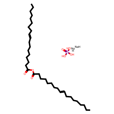 CCCCCCCCC=CCCCCCCCC(=O)OC(=O)CCCCCCCC=CCCCCCCCC.O=P(O)(O)O.[NaH].[NaH]